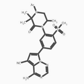 CC(=O)N1CC(C)N(c2cc(-c3cc(C#N)c4c(N)ncnn34)ccc2S(C)(=O)=O)C(=O)C1(C)C